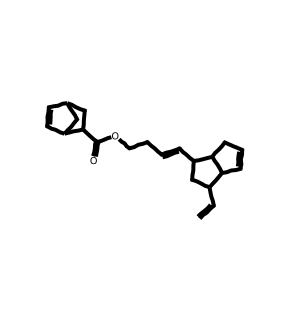 C=CC1CC(/C=C/CCOC(=O)C2CC3C=CC2C3)C2CC=CC12